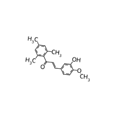 COc1ccc(/C=C/C(=O)c2c(C)cc(C)cc2C)cc1O